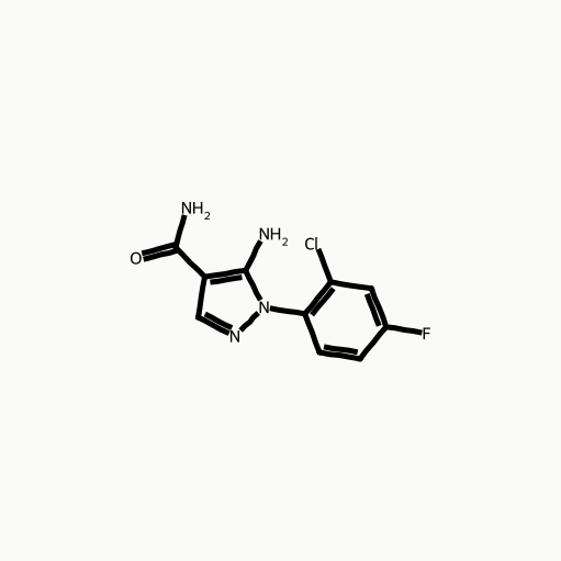 NC(=O)c1cnn(-c2ccc(F)cc2Cl)c1N